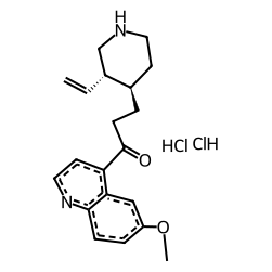 C=C[C@@H]1CNCC[C@H]1CCC(=O)c1ccnc2ccc(OC)cc12.Cl.Cl